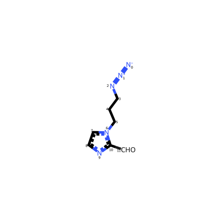 [N-]=[N+]=NCCCn1ccnc1C=O